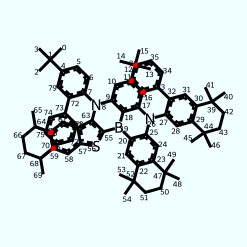 CC(C)(C)c1ccc(N2c3cc(C(C)(C)C)cc4c3B(c3cc5c(cc3N4c3cc4c(cc3-c3ccccc3)C(C)(C)CCC4(C)C)C(C)(C)CCC5(C)C)c3sc4cc5c(cc4c32)C2(C)CCC5(C)CC2)c(-c2ccccc2)c1